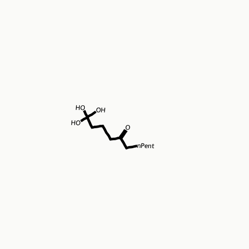 CCCCCCC(=O)CCCC(O)(O)O